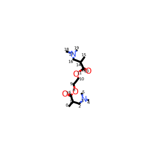 CC(CN(C)C)C(=O)OCCOC(=O)C(C)CN(C)C